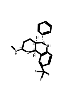 CN[C@H]1CC[C@@H]2[C@H](O1)c1cc(C(F)(F)F)ccc1N[C@H]2c1ccccc1